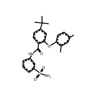 Cc1ccc(Oc2cc(C(C)(C)C)ccc2C(=O)Nc2cccc(S(N)(=O)=O)c2)c(C)c1